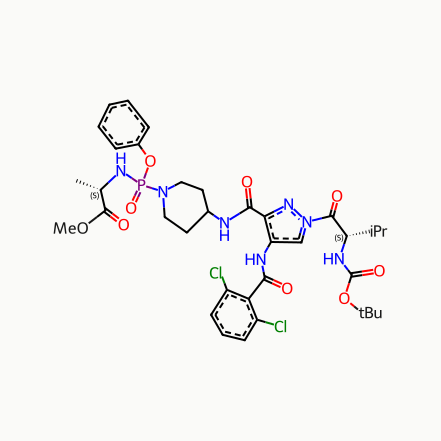 COC(=O)[C@H](C)NP(=O)(Oc1ccccc1)N1CCC(NC(=O)c2nn(C(=O)[C@@H](NC(=O)OC(C)(C)C)C(C)C)cc2NC(=O)c2c(Cl)cccc2Cl)CC1